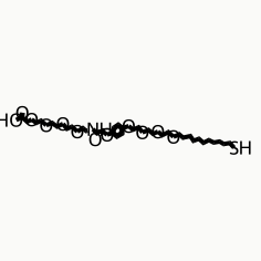 O=C(O)COCCOCCOCCOCCNC(=O)COc1ccc(OCCOCCOCCOCCCCCCCCCCCS)cc1